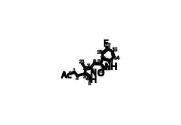 CC(=O)CCc1c(C)[nH]c(/C=C2\C(=O)Nc3ccc(F)cc32)c1C